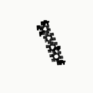 CCCc1ccc(-c2ccc(-c3ccc(C4CCC(CCC)CC4)c(F)c3)cc2)c(F)c1F